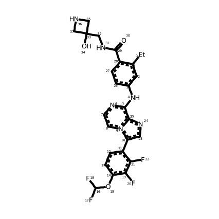 CCc1cc(Nc2nccn3c(-c4ccc(OC(F)F)c(F)c4F)cnc23)ccc1C(=O)NCC1(O)CNC1